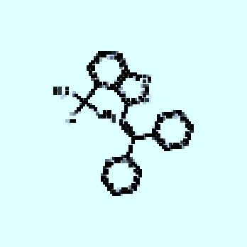 CC(C)(C)c1cccc2onc(C=C(c3ccccc3)c3ccccc3)c12